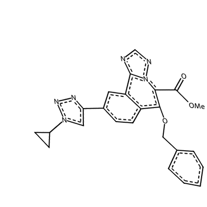 COC(=O)c1c(OCc2ccccc2)c2ccc(-c3cn(C4CC4)nn3)cc2c2ncnn12